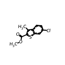 COC(=O)c1sc2cc(Cl)ccc2c1C